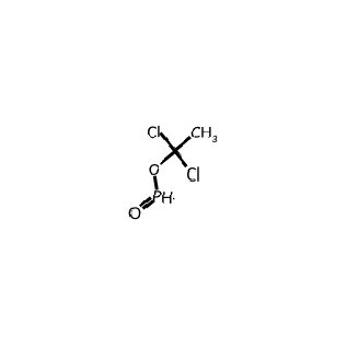 CC(Cl)(Cl)O[PH]=O